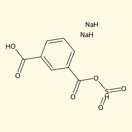 O=C(O)c1cccc(C(=O)O[SH](=O)=O)c1.[NaH].[NaH]